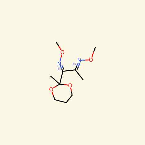 CO/N=C(C)/C(=N\OC)C1(C)OCCCO1